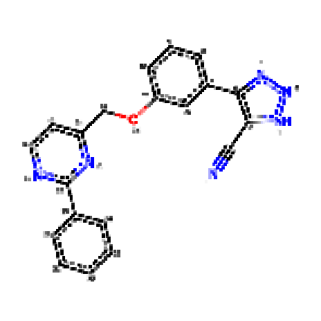 N#Cc1[nH]nnc1-c1cccc(OCc2ccnc(-c3ccccc3)n2)c1